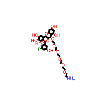 NCCOCCOCCOCCOCCOCCOC1c2c(O)cc(O)cc2OC(c2cc(O)c(O)c(O)c2)C1OC(=O)c1cc(O)cc(F)c1